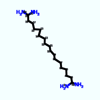 NC(N)CCCCCCCCCCCCCCCCC(N)N